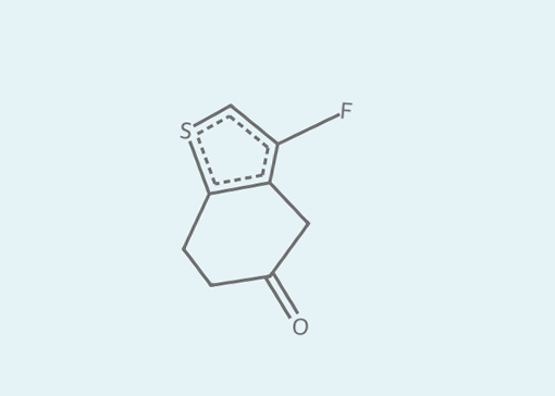 O=C1CCc2scc(F)c2C1